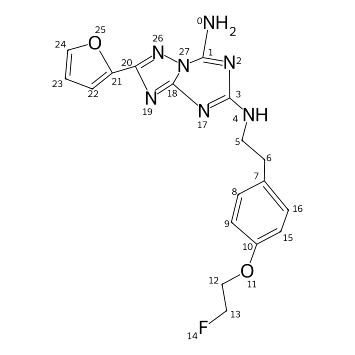 Nc1nc(NCCc2ccc(OCCF)cc2)nc2nc(-c3ccco3)nn12